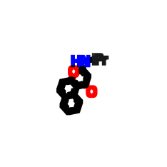 CC(C)Nc1cc(=O)c2c(ccc3ccccc32)o1